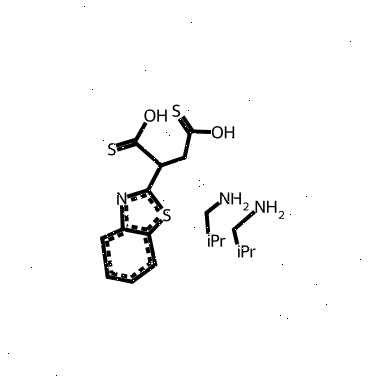 CC(C)CN.CC(C)CN.OC(=S)CC(C(O)=S)c1nc2ccccc2s1